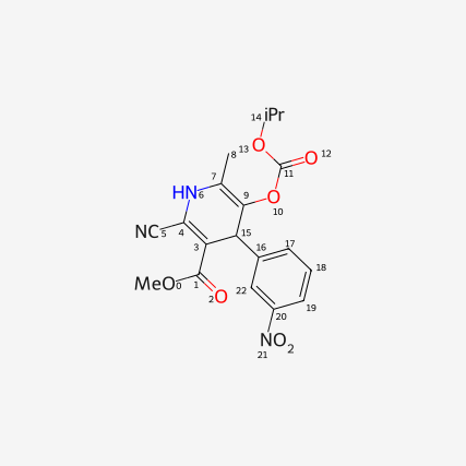 COC(=O)C1=C(C#N)NC(C)=C(OC(=O)OC(C)C)C1c1cccc([N+](=O)[O-])c1